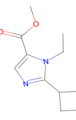 CCn1c(C(=O)OC)cnc1C1CCC1